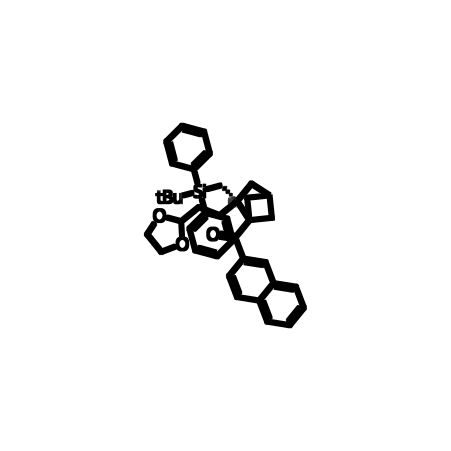 CC(C)(C)[Si](C[C@]1(CCC2OCCO2)CC2CC1(C(=O)c1ccc3ccccc3c1)C2)(c1ccccc1)c1ccccc1